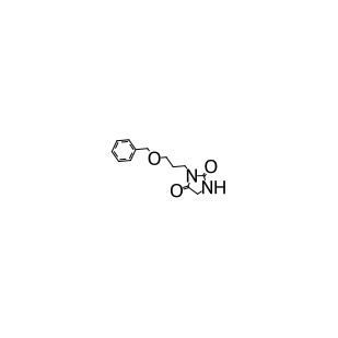 O=C1CNC(=O)N1CCCOCc1ccccc1